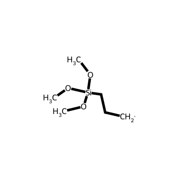 [CH2]CC[Si](OC)(OC)OC